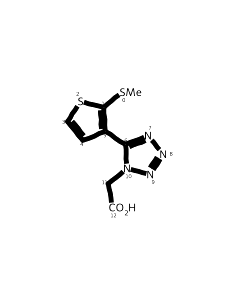 CSc1sccc1-c1nnnn1CC(=O)O